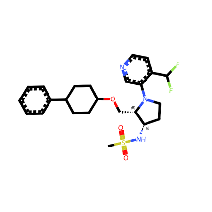 CS(=O)(=O)N[C@H]1CCN(c2cnccc2C(F)F)[C@H]1COC1CCC(c2ccccc2)CC1